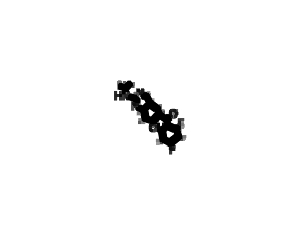 CC(C)Nc1ncc2cc(C(=O)c3ccc(F)cc3F)c(O)cc2n1